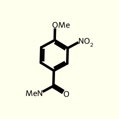 CNC(=O)c1ccc(OC)c([N+](=O)[O-])c1